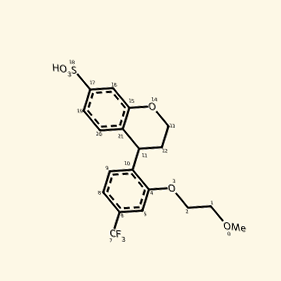 COCCOc1cc(C(F)(F)F)ccc1C1CCOc2cc(S(=O)(=O)O)ccc21